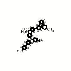 CC1CC2CCCC(C1)C21c2ccccc2-c2cc(-c3ccc4c(c3)-c3cc(N(c5ccc(-c6ccc(C(C)(C)C)cc6)cc5)c5ccc(C(C)(C)C)cc5)ccc3C4(C)C)ccc21